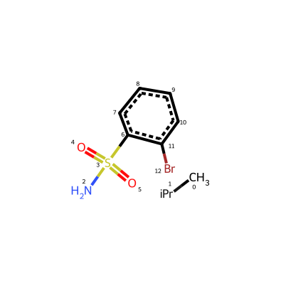 CC(C)C.NS(=O)(=O)c1ccccc1Br